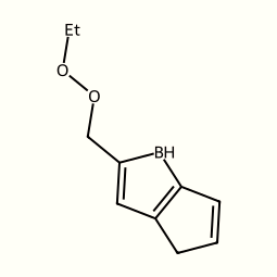 CCOOCC1=CC2=C(B1)C=CC2